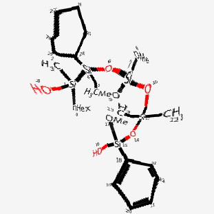 CCCCCC[Si](C)(O)[Si](C)(O[Si](OC)(OC)O[Si](C)(C)O[Si](O)(OC)c1ccccc1)C1CCCCC1